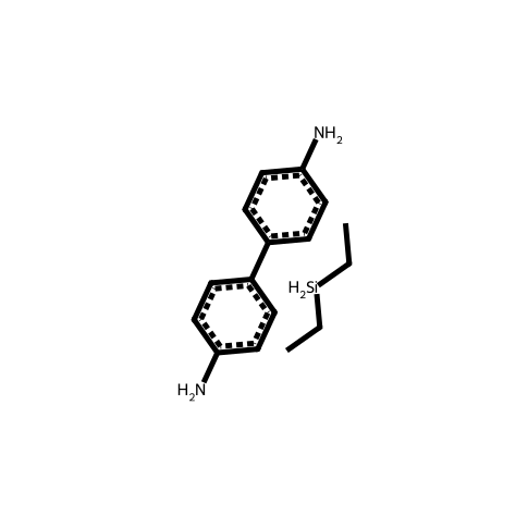 CC[SiH2]CC.Nc1ccc(-c2ccc(N)cc2)cc1